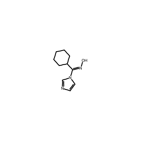 O/N=C(\C1CCCCC1)n1ccnc1